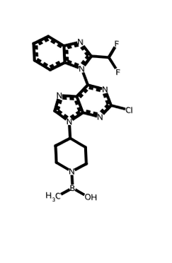 CB(O)N1CCC(n2cnc3c(-n4c(C(F)F)nc5ccccc54)nc(Cl)nc32)CC1